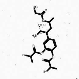 CCC(C)CC(=O)OC(C)CC(c1ccc(OC(=O)C(C)C(C)C)c(OC(=O)C(C)C(C)C)c1)[C@H](N)C(=O)O